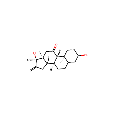 C=C1C[C@H]2[C@@H]3CCC4C[C@H](O)CC[C@]4(C)[C@H]3C(=O)C[C@]2(C)[C@@]1(O)C(C)=O